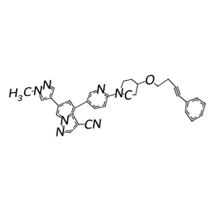 Cn1cc(-c2cc(-c3ccc(N4CCC(OCCC#Cc5ccccc5)CC4)nc3)c3c(C#N)cnn3c2)cn1